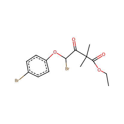 CCOC(=O)C(C)(C)C(=O)C(Br)Oc1ccc(Br)cc1